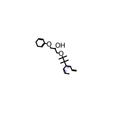 C=C/C=C(\C=C/C)C(C)(C)C(C)(C)OCC(O)COC1=CCCC=C1